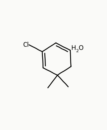 CC1(C)C=C(Cl)C=CC1.O